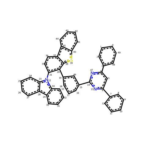 c1ccc(-c2cc(-c3ccccc3)nc(-c3cccc(-c4c(-n5c6ccccc6c6ccccc65)ccc5c4sc4ccccc45)c3)n2)cc1